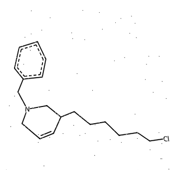 ClCCCCCCC1C=CCN(Cc2ccccc2)C1